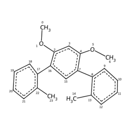 COc1cc(OC)c(-c2ccccc2C)cc1-c1ccccc1C